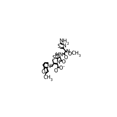 CO/N=C(\C(=O)NC1C(=O)N2C(C(=O)[O-])=C(C[n+]3cccc4oc(C)cc43)CS[C@H]12)c1csc(N)n1